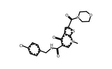 Cn1cc(C(=O)NCc2ccc(Cl)cc2)c(=O)c2cc(C(=O)N3CCOCC3)sc21